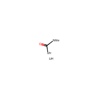 CCCC(=O)[N]C.[LiH]